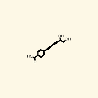 O=C(O)c1ccc(C#CC#CC(O)CO)cc1